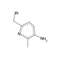 Cc1nc(CC(C)C)ccc1N